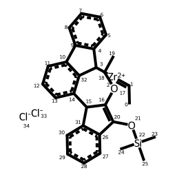 C[CH]=[Zr+2][CH]1c2ccccc2-c2cccc(C3C(OCC)=C(O[Si](C)(C)C)c4ccccc43)c21.[Cl-].[Cl-]